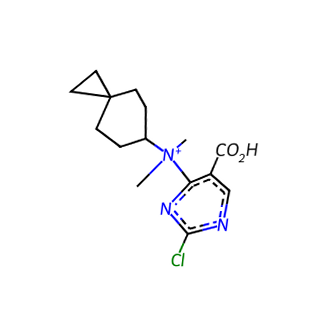 C[N+](C)(c1nc(Cl)ncc1C(=O)O)C1CCC2(CC1)CC2